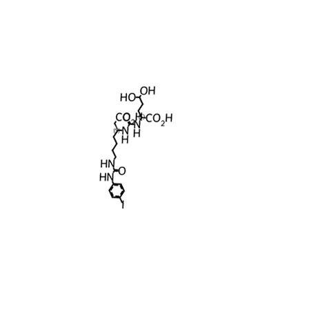 O=C(O)C[C@H](CCCCNC(=O)Nc1ccc(I)cc1)NC(=O)N[C@@H](CCC(O)O)C(=O)O